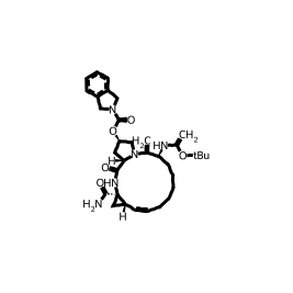 C=C(N[C@H]1CCCCC/C=C\[C@@H]2C[C@@]2(C(N)=O)NC(=O)[C@@H]2C[C@@H](OC(=O)N3Cc4ccccc4C3)CN2C1=C)OC(C)(C)C